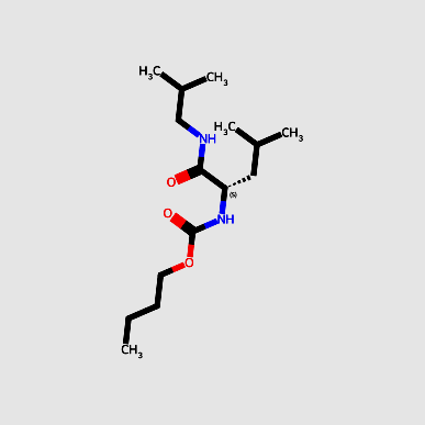 CCCCOC(=O)N[C@@H](CC(C)C)C(=O)NCC(C)C